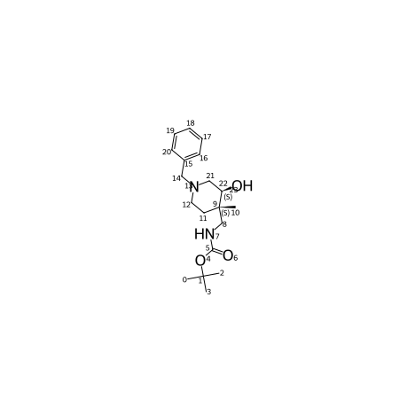 CC(C)(C)OC(=O)NC[C@]1(C)CCN(Cc2ccccc2)C[C@H]1O